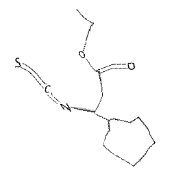 CCOC(=O)C(N=C=S)C1CCCC1